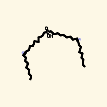 CCCCCCCC/C=C\CCCCCCCCP(=O)(O)CCCCCCCC/C=C\CCCCCCCC